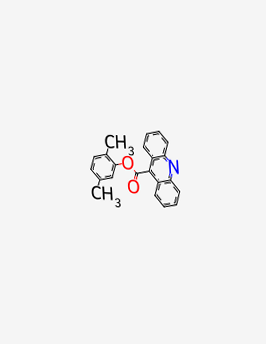 Cc1ccc(C)c(OC(=O)c2c3ccccc3nc3ccccc23)c1